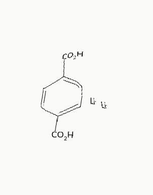 O=C(O)c1ccc(C(=O)O)cc1.[Li].[Li]